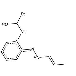 CC=CNN=c1ccccn1NC(O)CC